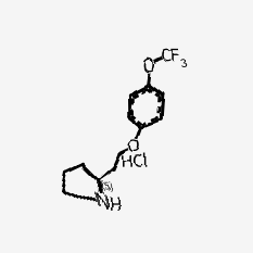 Cl.FC(F)(F)Oc1ccc(OCC[C@@H]2CCCCN2)cc1